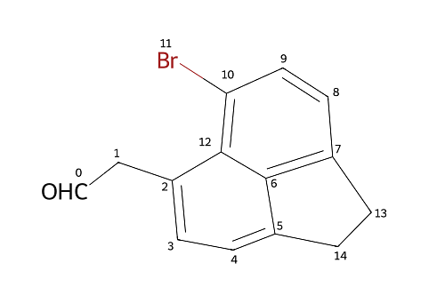 O=CCc1ccc2c3c(ccc(Br)c13)CC2